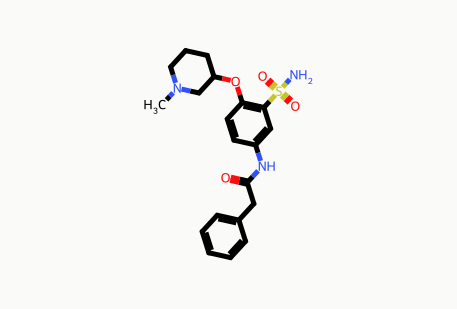 CN1CCCC(Oc2ccc(NC(=O)Cc3ccccc3)cc2S(N)(=O)=O)C1